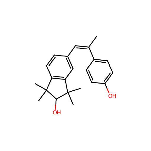 CC(=Cc1ccc2c(c1)C(C)(C)C(O)C2(C)C)c1ccc(O)cc1